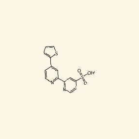 O=S(=O)(O)c1ccnc(-c2cc(-c3cccs3)ccn2)c1